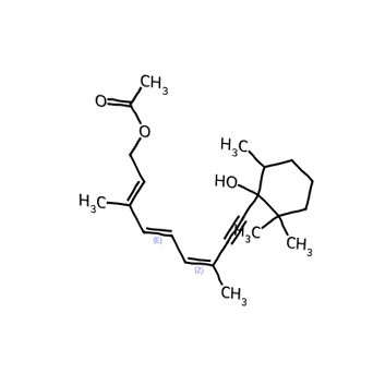 CC(=O)OCC=C(C)/C=C/C=C(/C)C#CC1(O)C(C)CCCC1(C)C